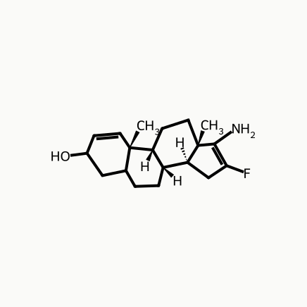 C[C@]12C=CC(O)CC1CC[C@@H]1[C@H]2CC[C@]2(C)C(N)=C(F)C[C@@H]12